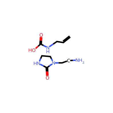 C=CCNC(=O)O.NCCN1CCNC1=O